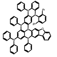 CC(C)c1cccc(C(C)C)c1B1c2ccccc2N(c2ccccc2)c2cc3c(cc21)B1c2cc4oc5ccccc5c4cc2N(c2ccccc2)c2cc(N(c4ccccc4)c4ccccc4)cc(c21)N3c1ccccc1